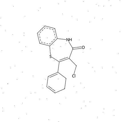 O=C1Nc2ccccc2SC(C2=CC=CCC2)=C1CCl